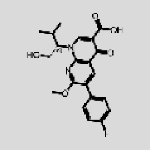 COc1nc2c(cc1-c1ccc(F)cc1)c(=O)c(C(=O)O)cn2[C@H](CO)C(C)C